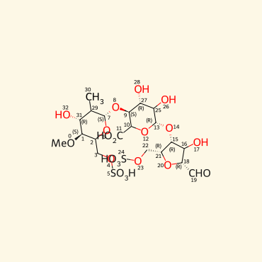 CO[C@@H]1C(COS(=O)(=O)O)O[C@@H](O[C@@H]2C(C(=O)O)O[C@@H](O[C@@H]3C(O)[C@H](C=O)O[C@@H]3COS(=O)(=O)O)C(O)[C@H]2O)C(C)[C@H]1O